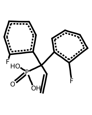 C=CC(c1ccccc1F)(c1ccccc1F)P(=O)(O)O